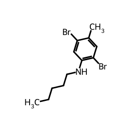 CCCCCNc1cc(Br)c(C)cc1Br